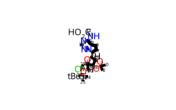 CC1(C)O[C@H]2[C@H](c3ccc4c(NC(=O)O)ncnn34)O[C@](CCl)(CO[Si](C)(C)C(C)(C)C)[C@H]2O1